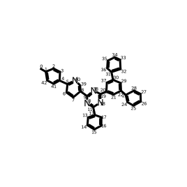 Cc1ccc(-c2ccc(-c3nc(-c4ccccc4)nc(-c4cc(-c5ccccc5)cc(-c5ccccc5)c4)n3)cn2)cc1